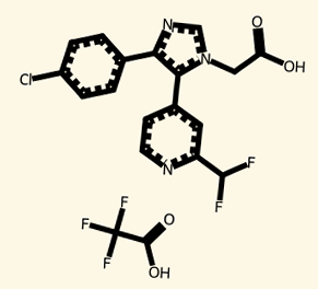 O=C(O)C(F)(F)F.O=C(O)Cn1cnc(-c2ccc(Cl)cc2)c1-c1ccnc(C(F)F)c1